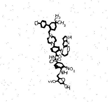 CC1(C)CCC(CN2CCN(c3ccc(C(=O)NS(=O)(=O)c4ccc(NCC5OC(O)CC5O)c([N+](=O)[O-])c4)c(N4CCCOc5nc6[nH]ccc6cc54)c3)CC2)=C(c2ccc(Cl)cc2)C1